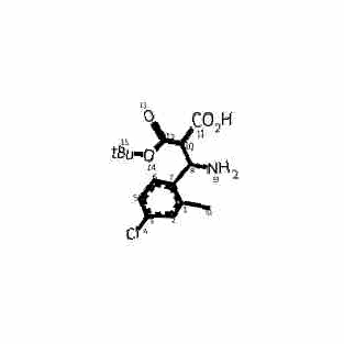 Cc1cc(Cl)ccc1C(N)C(C(=O)O)C(=O)OC(C)(C)C